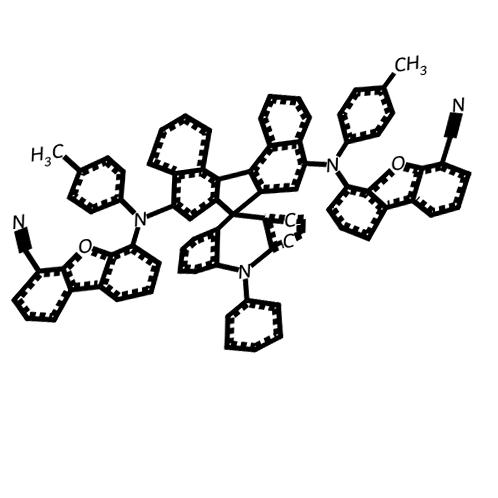 Cc1ccc(N(c2cc3c(c4ccccc24)-c2c(cc(N(c4ccc(C)cc4)c4cccc5c4oc4c(C#N)cccc45)c4ccccc24)C32c3ccccc3N(c3ccccc3)c3ccccc32)c2cccc3c2oc2c(C#N)cccc23)cc1